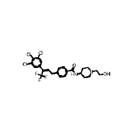 O=C(NC1CCN(CCO)CC1)c1ccc(CC=C(c2cc(Cl)c(Cl)c(Cl)c2)C(F)(F)F)cc1